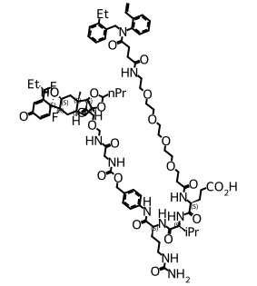 C=Cc1ccccc1N(Cc1ccccc1CC)C(=O)CCC(=O)NCCOCCOCCOCCOCCC(=O)N[C@@H](CCC(=O)O)C(=O)N[C@H](C(=O)N[C@@H](CCCNC(N)=O)C(=O)Nc1ccc(COC(=O)NCC(=O)NCOCC(=O)[C@@]23OC(CCC)O[C@@H]2C[C@H]2C[C@@](F)([C@@]4(C)C=CC(=O)C=C4[C@@H](F)CC)[C@@H](O)C[C@@]23C)cc1)C(C)C